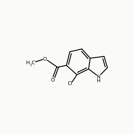 COC(=O)c1ccc2cc[nH]c2c1Cl